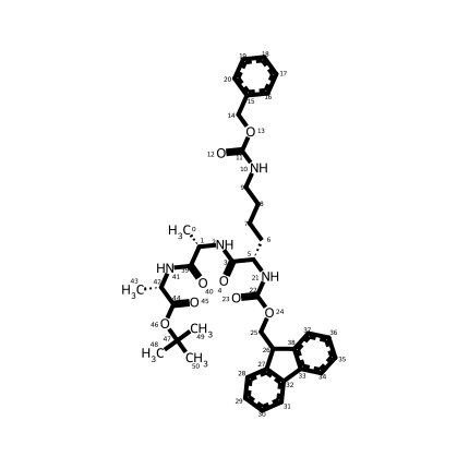 C[C@H](NC(=O)[C@H](CCCCNC(=O)OCc1ccccc1)NC(=O)OCC1c2ccccc2-c2ccccc21)C(=O)N[C@@H](C)C(=O)OC(C)(C)C